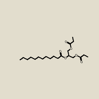 CCCCCCCCCCCC(=O)OC(COC(=O)CC)COC(=O)CC